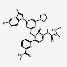 CNC(=O)c1cccc(-c2ccc(NC(=O)[C@H](C)NC)c(=O)n2Cc2cc(N3CCCC3)cc(-n3cc(C)c4cc(F)ccc43)c2)c1